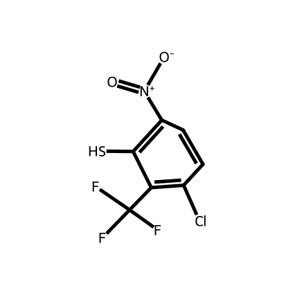 O=[N+]([O-])c1ccc(Cl)c(C(F)(F)F)c1S